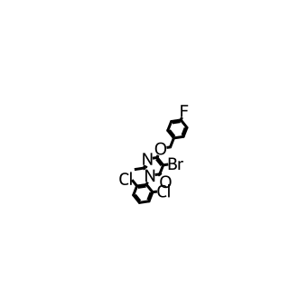 Cc1nc(OCc2ccc(F)cc2)c(Br)c(=O)n1-c1c(Cl)cccc1Cl